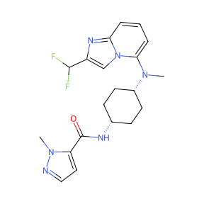 Cn1nccc1C(=O)N[C@H]1CC[C@@H](N(C)c2cccc3nc(C(F)F)cn23)CC1